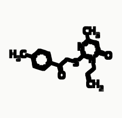 C=CCn1c(SCC(=O)c2ccc(C)cc2)nc(C)cc1=O